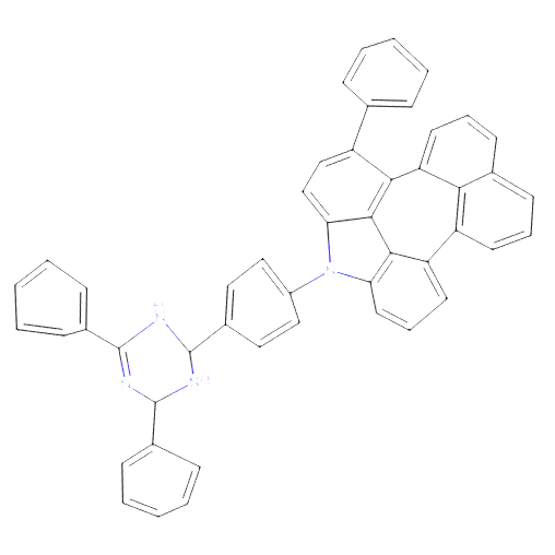 c1ccc(C2=NC(c3ccccc3)NC(c3ccc(-n4c5cccc6c5c5c(c(-c7ccccc7)ccc54)-c4cccc5cccc-6c45)cc3)N2)cc1